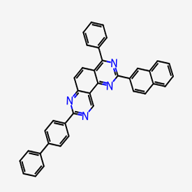 c1ccc(-c2ccc(-c3ncc4c(ccc5c(-c6ccccc6)nc(-c6ccc7ccccc7c6)nc54)n3)cc2)cc1